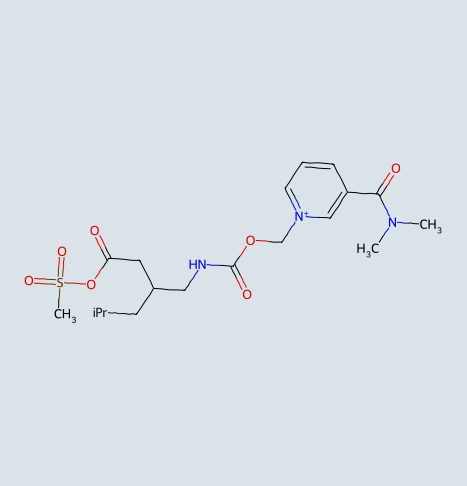 CC(C)CC(CNC(=O)OC[n+]1cccc(C(=O)N(C)C)c1)CC(=O)OS(C)(=O)=O